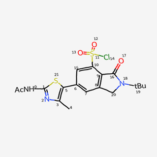 CC(=O)Nc1nc(C)c(-c2cc3c(c(S(=O)(=O)Cl)c2)C(=O)N(C(C)(C)C)C3)s1